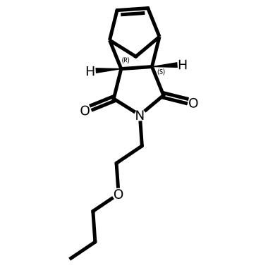 CCCOCCN1C(=O)[C@@H]2C3C=CC(C3)[C@@H]2C1=O